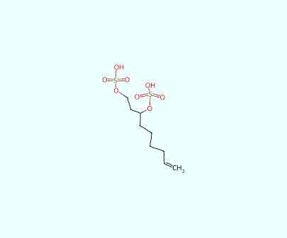 C=CCCCCC(CCOS(=O)(=O)O)OS(=O)(=O)O